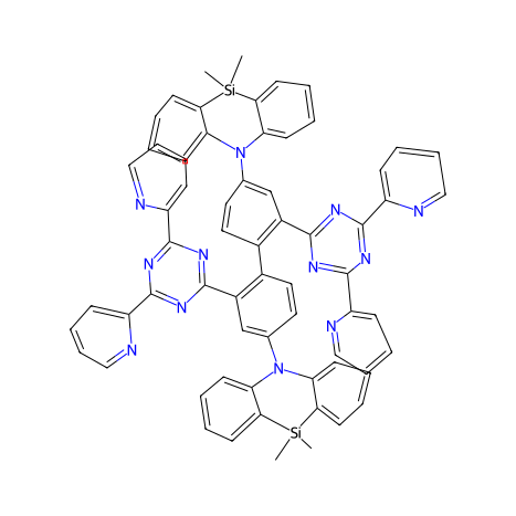 C[Si]1(C)c2ccccc2N(c2ccc(-c3ccc(N4c5ccccc5[Si](C)(C)c5ccccc54)cc3-c3nc(-c4ccccn4)nc(-c4ccccn4)n3)c(-c3nc(-c4ccccn4)nc(-c4ccccn4)n3)c2)c2ccccc21